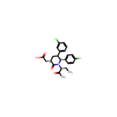 CC[C@@H](C(C)=O)N1C(=O)[C@@H](CC(=O)O)CC(c2cccc(Cl)c2)[C@H]1c1ccc(Cl)cc1